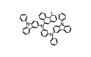 CC1C=CC=C2C=C(N(c3cccc(N(c4ccccc4)c4ccc5c(c4)c4ccccc4n5-c4ccccc4)c3)c3ccc4c(c3)c3ccccc3n4-c3ccccc3)c3ccccc3C21